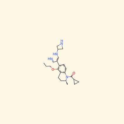 CCCOc1c(/C(C=N)=C/NC2CNC2)ccc2c1CC[C@H](C)N2C(=O)C1CC1